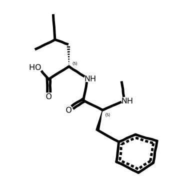 CN[C@@H](Cc1ccccc1)C(=O)N[C@@H](CC(C)C)C(=O)O